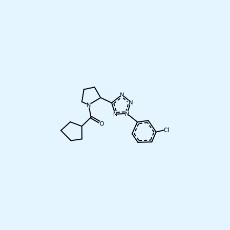 O=C(C1CCCC1)N1CCCC1c1nnn(-c2cccc(Cl)c2)n1